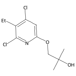 CCc1c(Cl)cc(OCC(C)(C)O)nc1Cl